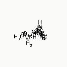 Cc1cc(CC(C)NCCC(=O)Nc2sc3c(c2-c2nc4cnccc4s2)CCNC3)on1